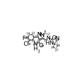 N#CC1(NC(=O)N2CCn3nc(-c4ccc(F)c(Cl)c4)c(C(N)=O)c3C2)CCC1